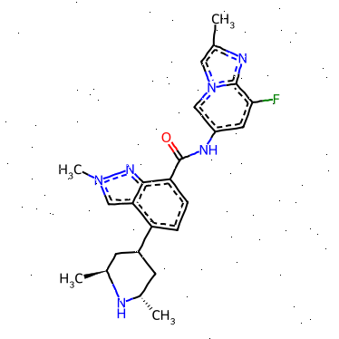 Cc1cn2cc(NC(=O)c3ccc(C4C[C@H](C)N[C@@H](C)C4)c4cn(C)nc34)cc(F)c2n1